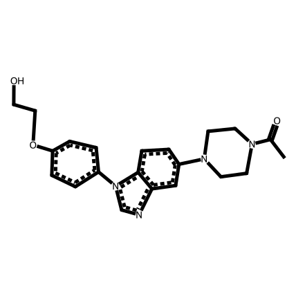 CC(=O)N1CCN(c2ccc3c(c2)ncn3-c2ccc(OCCO)cc2)CC1